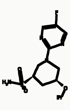 CC(C)O[C@@H]1C[C@H](S(N)(=O)=O)CN(c2ncc(F)cn2)C1